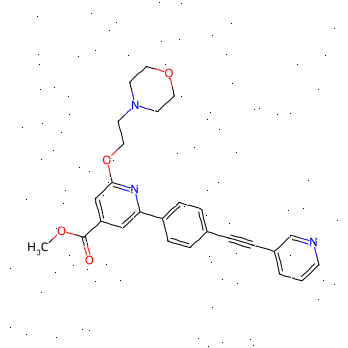 COC(=O)c1cc(OCCN2CCOCC2)nc(-c2ccc(C#Cc3cccnc3)cc2)c1